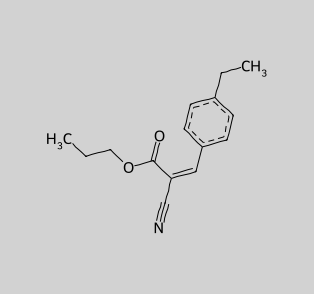 CCCOC(=O)C(C#N)=Cc1ccc(CC)cc1